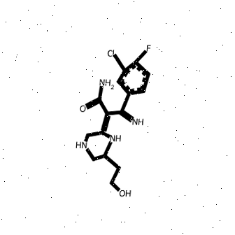 N=C(/C(C(N)=O)=C1/CNCC(CCO)N1)c1ccc(F)c(Cl)c1